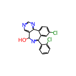 OC1N=C(c2ccccc2Cl)c2cc(Cl)ccc2-c2ncncc21